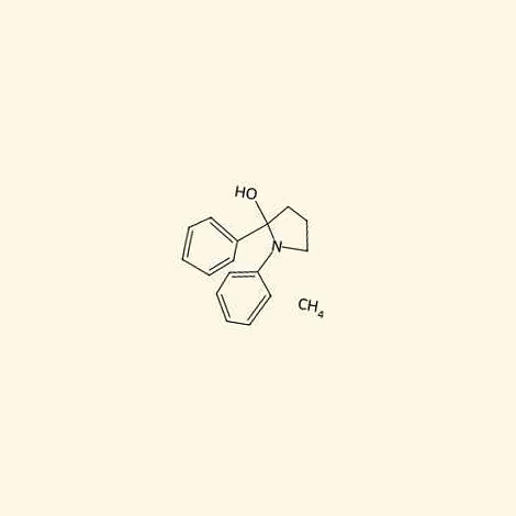 C.OC1(c2ccccc2)CCCN1c1ccccc1